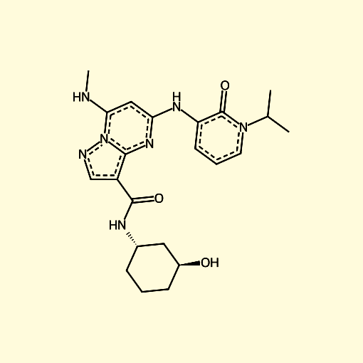 CNc1cc(Nc2cccn(C(C)C)c2=O)nc2c(C(=O)N[C@H]3CCC[C@H](O)C3)cnn12